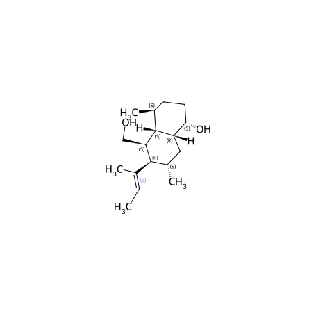 C/C=C(\C)[C@H]1[C@@H](CO)[C@H]2[C@@H](C[C@@H]1C)[C@@H](O)CC[C@@H]2C